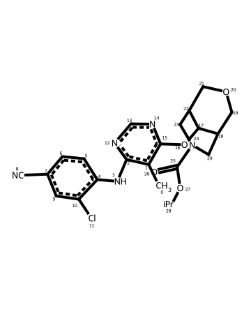 Cc1c(Nc2ccc(C#N)cc2Cl)ncnc1OC1C2COCC1CN(C(=O)OC(C)C)C2